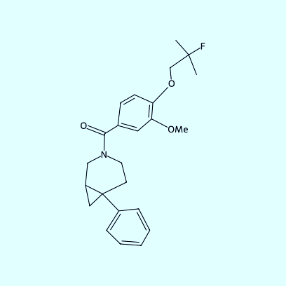 COc1cc(C(=O)N2CCC3(c4ccccc4)CC3C2)ccc1OCC(C)(C)F